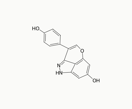 Oc1ccc(C2=COc3cc(O)cc4[nH]nc2c34)cc1